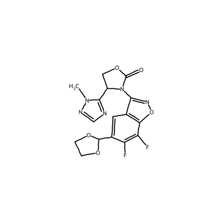 Cn1ncnc1C1COC(=O)N1c1noc2c(F)c(F)c(C3OCCO3)cc12